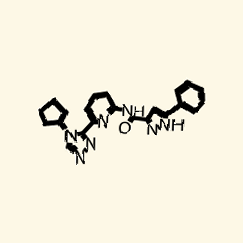 O=C(Nc1cccc(-c2nncn2C2CCCC2)n1)c1cc(-c2ccccc2)[nH]n1